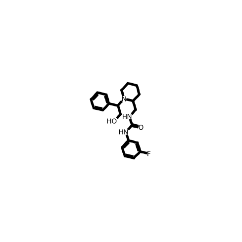 O=C(NCC1CCCCN1C(CO)c1ccccc1)Nc1cccc(F)c1